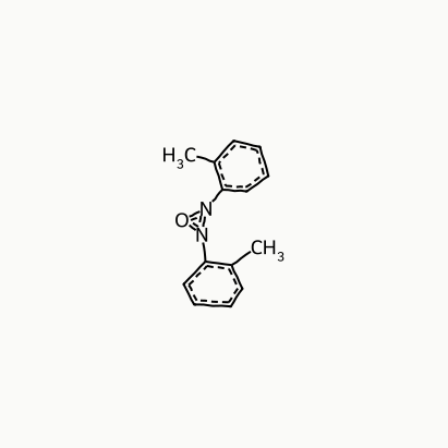 Cc1ccccc1-n1on1-c1ccccc1C